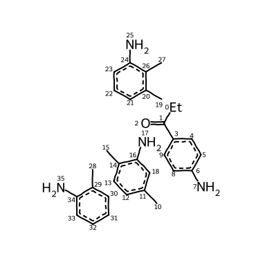 CCC(=O)c1ccc(N)cc1.Cc1ccc(C)c(N)c1.Cc1cccc(N)c1C.Cc1ccccc1N